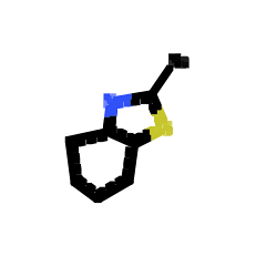 [Na][c]1nc2ccccc2s1